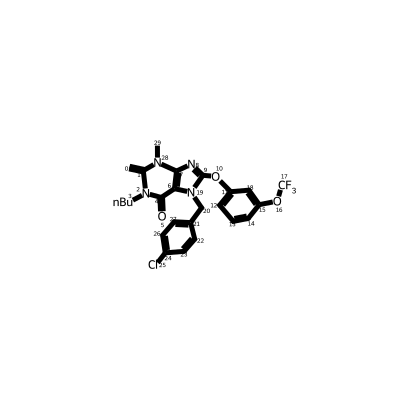 C=C1N(CCCC)C(=O)c2c(nc(Oc3cccc(OC(F)(F)F)c3)n2Cc2ccc(Cl)cc2)N1C